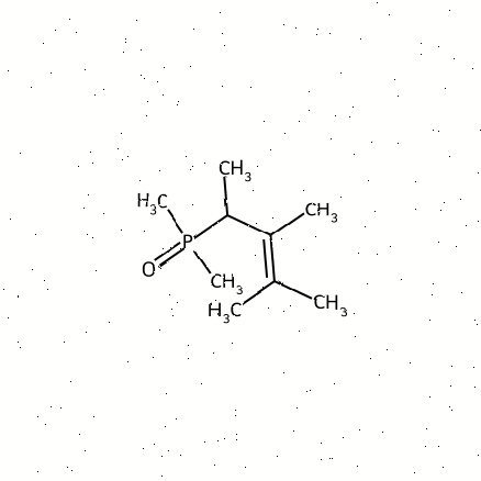 CC(C)=C(C)C(C)P(C)(C)=O